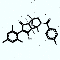 Cc1cc(C)c(C2=C(O)[C@@H]3[C@@H]4O[C@@H](C[C@H]4C(=O)c4ccc(F)cc4)[C@@H]3C2=O)c(C)c1